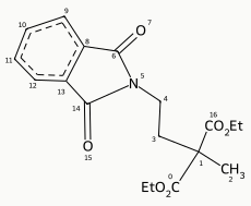 CCOC(=O)C(C)(CCN1C(=O)c2ccccc2C1=O)C(=O)OCC